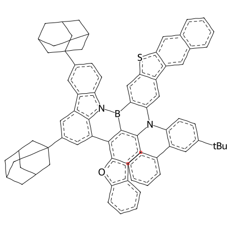 CC(C)(C)c1ccc(N2c3cc4c(cc3B3c5c2cc2c(oc6ccccc62)c5-c2cc(C56CC7CC(CC(C7)C5)C6)cc5c6cc(C78CC9CC(CC(C9)C7)C8)ccc6n3c25)sc2cc3ccccc3cc24)c(-c2ccccc2)c1